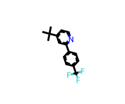 CC(C)(C)c1ccnc(-c2ccc(C(F)(F)F)cc2)c1